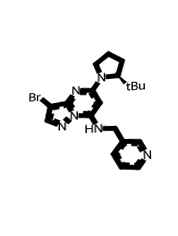 CC(C)(C)[C@@H]1CCCN1c1cc(NCc2cccnc2)n2ncc(Br)c2n1